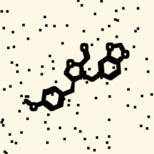 COc1ccc(C[C@H]2COC(C=O)N2Cc2ccc3c(c2)OCO3)cc1